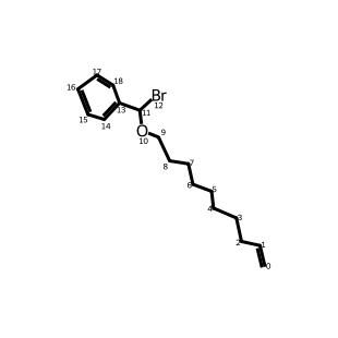 C=CCCCCCCCCOC(Br)c1ccccc1